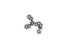 c1ccc(-c2nc3ccc4ccc5cc(-c6nc(-c7ccc8ccccc8c7)cc(-c7ccc8ccccc8c7)n6)ccc5c4c3s2)cc1